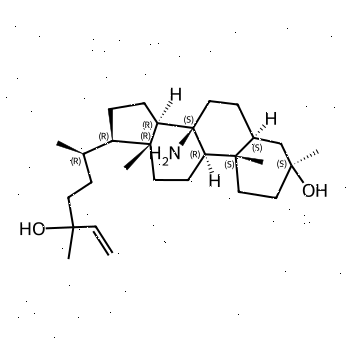 C=CC(C)(O)CC[C@@H](C)[C@H]1CC[C@@H]2[C@]1(C)CC[C@@H]1[C@@]3(C)CC[C@](C)(O)C[C@@H]3CC[C@]12N